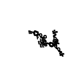 CC[Si](CC)(CC)O[C@H](CNC(=O)COc1ccc(Br)cc1F)c1ccc(OCOCC[Si](C)(C)C)c(N(COCC[Si](C)(C)C)S(C)(=O)=O)c1